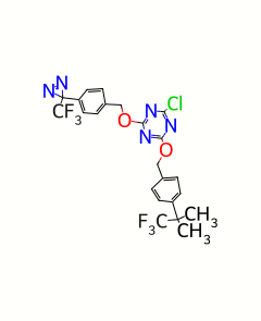 CC(C)(c1ccc(COc2nc(Cl)nc(OCc3ccc(C4(C(F)(F)F)N=N4)cc3)n2)cc1)C(F)(F)F